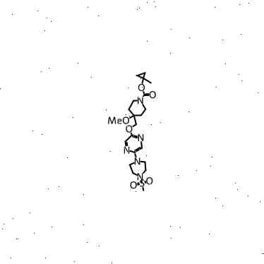 COC1(COc2cnc(N3CCN(S(C)(=O)=O)CC3)cn2)CCN(C(=O)OC2(C)CC2)CC1